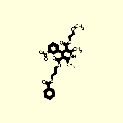 COCCOC(=O)C1=C(C)NC(C)=C(C(=O)OCCCSC(=O)c2ccccc2)C1c1cccc([N+](=O)[O-])c1